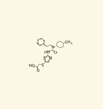 C[C@H]1CC[C@H](N(CCc2ccccc2)C(=O)Nc2ncc(SCC(=O)O)s2)CC1